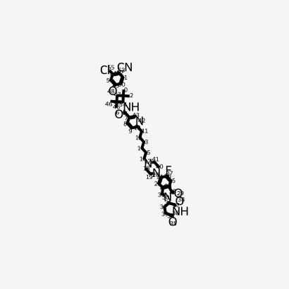 CC1(C)C(NC(=O)c2ccc(CCCCCCN3CCN(c4cc5c(cc4F)C(=O)N([C@@H]4CCC(=O)NC4=O)C5)CC3)nc2)C(C)(C)C1Oc1ccc(C#N)c(Cl)c1